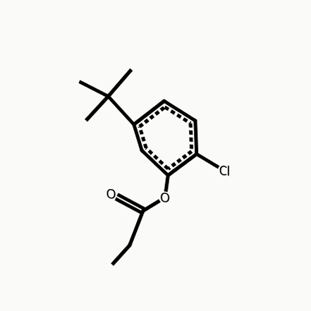 CCC(=O)Oc1cc(C(C)(C)C)ccc1Cl